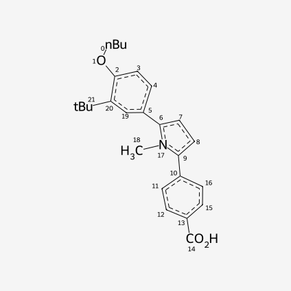 CCCCOc1ccc(-c2ccc(-c3ccc(C(=O)O)cc3)n2C)cc1C(C)(C)C